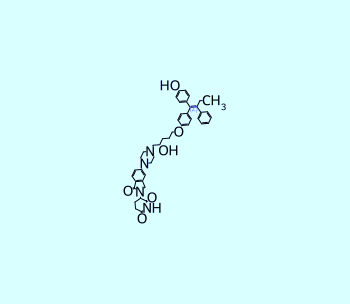 CC/C(=C(\c1ccc(O)cc1)c1ccc(OCCCC(O)CN2CCN(c3ccc4c(c3)CN(C3CCC(=O)NC3=O)C4=O)CC2)cc1)c1ccccc1